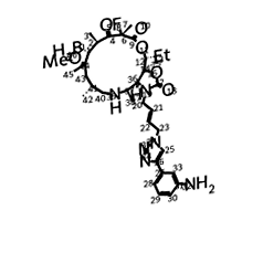 B[C@@H]1[C@@H](C)C(=O)[C@](C)(F)C(=O)O[C@H](CC)[C@@]2(C)OC(=O)N(C/C=C/Cn3cc(-c4cccc(N)c4)nn3)[C@@H]2[C@@H](C)NC[C@H](C)C[C@@]1(C)OC